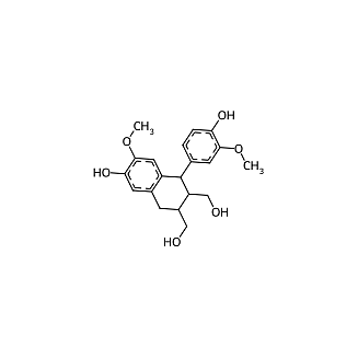 COc1cc(C2c3cc(OC)c(O)cc3CC(CO)C2CO)ccc1O